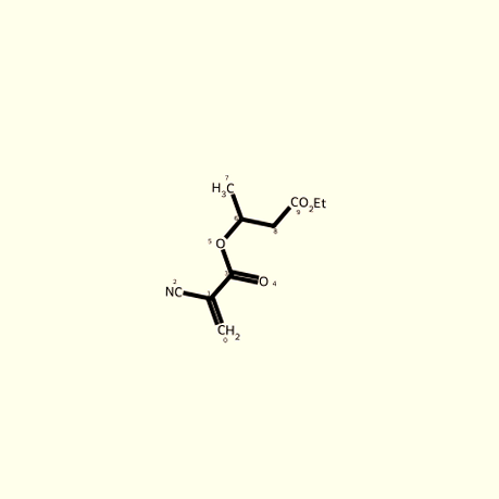 C=C(C#N)C(=O)OC(C)CC(=O)OCC